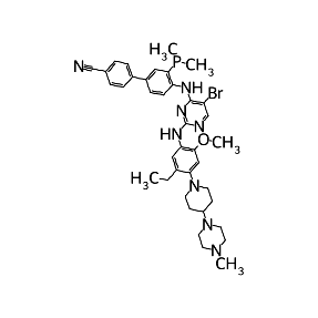 CCc1cc(Nc2ncc(Br)c(Nc3ccc(-c4ccc(C#N)cc4)cc3P(C)C)n2)c(OC)cc1N1CCC(N2CCN(C)CC2)CC1